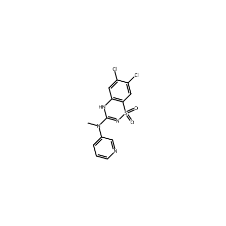 CN(C1=NS(=O)(=O)c2cc(Cl)c(Cl)cc2N1)c1cccnc1